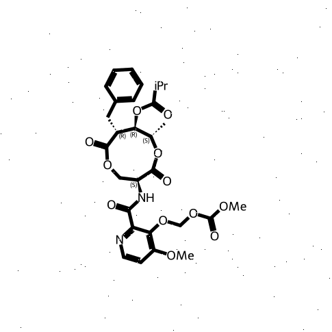 COC(=O)OCOc1c(OC)ccnc1C(=O)N[C@H]1COC(=O)[C@H](Cc2ccccc2)[C@@H](OC(=O)C(C)C)[C@H](C)OC1=O